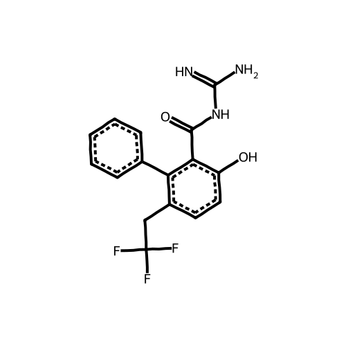 N=C(N)NC(=O)c1c(O)ccc(CC(F)(F)F)c1-c1ccccc1